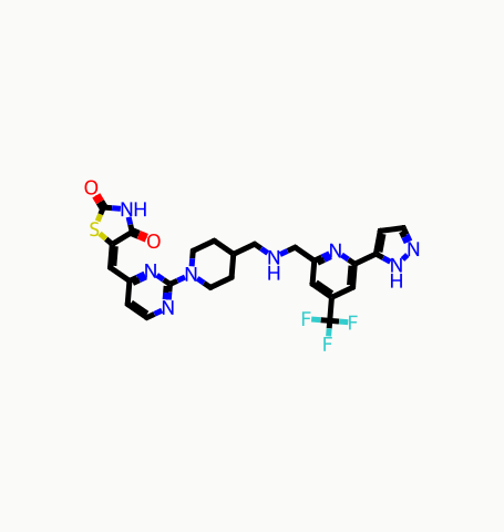 O=C1NC(=O)/C(=C\c2ccnc(N3CCC(CNCc4cc(C(F)(F)F)cc(-c5ccn[nH]5)n4)CC3)n2)S1